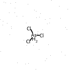 Cl[AsH2](Cl)Cl